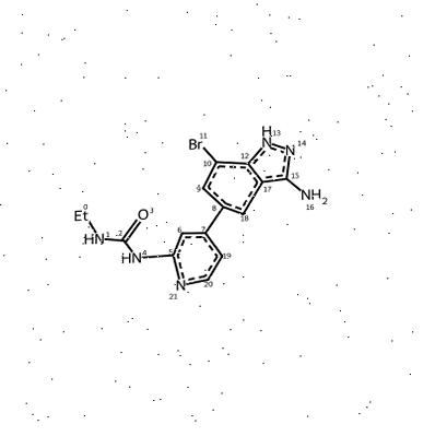 CCNC(=O)Nc1cc(-c2cc(Br)c3[nH]nc(N)c3c2)ccn1